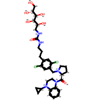 O=C(NCCCc1cc(Cl)c(CN2CCC[C@H]2C(=O)N2CCN(C3CC3)c3ccccc32)cc1Cl)NC[C@H](O)[C@@H](O)[C@H](O)[C@H](O)CO